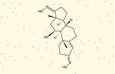 C[C@]12CC/C(=N\O)C=C1CC[C@@H]1[C@@H]2[C@@H](O)C[C@]2(C)/C(=N\O)CC[C@@H]12